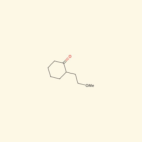 COCCC1CCCCC1=O